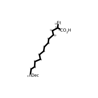 CCCCCCCCCCCCCCCCCCCC[CH]C(CC)C(=O)O